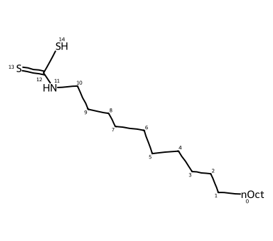 CCCCCCCCCCCCCCCCCCNC(=S)S